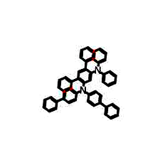 c1ccc(-c2ccc(N(c3ccc(-c4ccccc4)cc3)c3cc(N(c4ccccc4)c4ccccc4)c(-c4ccccc4)cc3-c3ccccc3)cc2)cc1